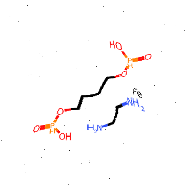 NCCN.O=[PH](O)OCCCCO[PH](=O)O.[Fe]